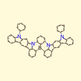 c1ccc(-n2c3ccccc3c3cc4c5cccc6c5n(c4cc32)-c2cccc3c2B6c2cccc4c5cc6c7ccccc7n(-c7ccccc7)c6cc5n-3c24)cc1